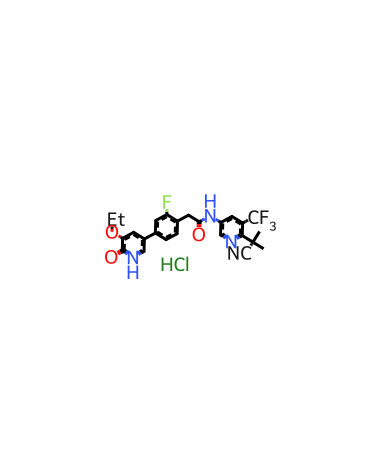 CCOc1cc(-c2ccc(CC(=O)Nc3cnc(C(C)(C)C#N)c(C(F)(F)F)c3)c(F)c2)c[nH]c1=O.Cl